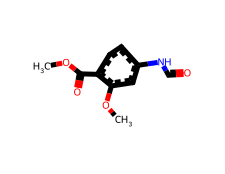 COC(=O)c1ccc(NC=O)cc1OC